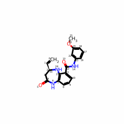 C=C[C@@H]1CC(=O)Nc2cccc(C(=O)Nc3cccc(OC)c3)c2N1